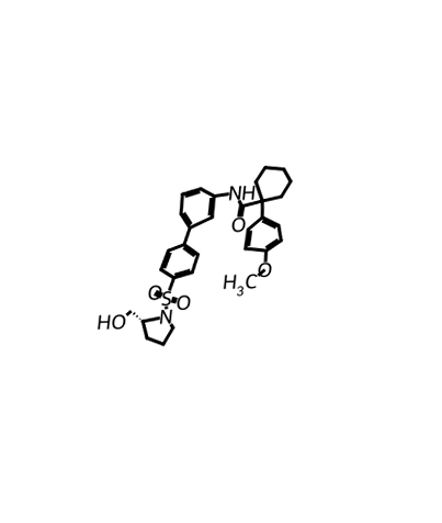 COc1ccc(C2(C(=O)Nc3cccc(-c4ccc(S(=O)(=O)N5CCC[C@@H]5CO)cc4)c3)CCCCC2)cc1